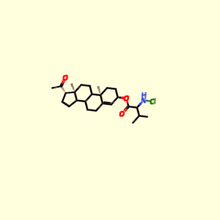 CC(=O)[C@H]1CCC2C3CCC4=C[C@H](OC(=O)[C@@H](NCl)C(C)C)CC[C@]4(C)C3CC[C@@]21C